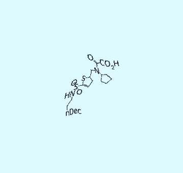 CCCCCCCCCCCCNS(=O)(=O)C1=CCC(CN(C(=O)C(=O)O)C2CCCC2)S1